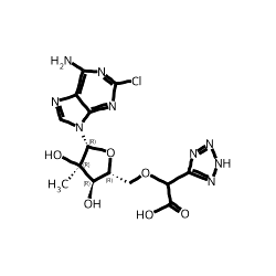 C[C@@]1(O)[C@H](O)[C@@H](COC(C(=O)O)c2nn[nH]n2)O[C@H]1n1cnc2c(N)nc(Cl)nc21